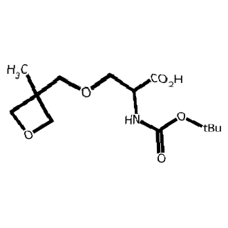 CC1(COCC(NC(=O)OC(C)(C)C)C(=O)O)COC1